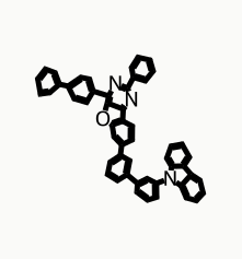 c1ccc(-c2ccc(-c3nc(-c4ccccc4)nc4c3oc3cc(-c5cccc(-c6cccc(-n7c8ccccc8c8ccccc87)c6)c5)ccc34)cc2)cc1